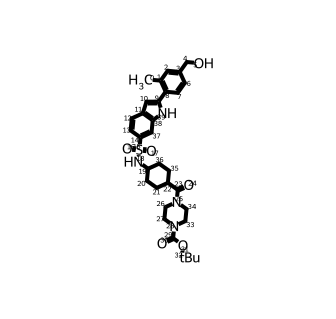 Cc1cc(CO)ccc1-c1cc2ccc(S(=O)(=O)NC3CCC(C(=O)N4CCN(C(=O)OC(C)(C)C)CC4)CC3)cc2[nH]1